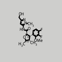 COc1c([C@@H]2[C@H](C)[C@@H](C)O[C@H]2C(=O)Nc2cc(CO)nn2C)ccc(F)c1F